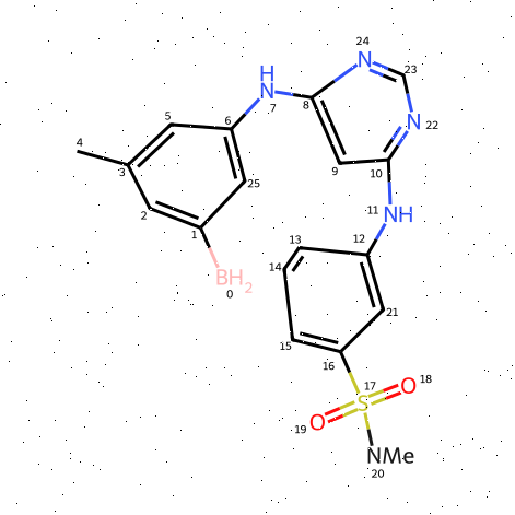 Bc1cc(C)cc(Nc2cc(Nc3cccc(S(=O)(=O)NC)c3)ncn2)c1